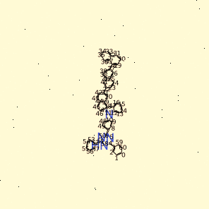 c1ccc(C2=NC(c3ccc(-n4c5ccccc5c5c6cc(-c7ccc8cc(-c9cccc%10ccccc9%10)ccc8c7)ccc6ccc54)cc3)=NC(c3ccccc3)N2)cc1